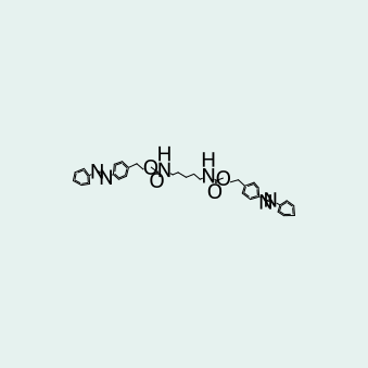 O=C(NCCCCCNC(=O)OCCc1ccc(/N=N/c2ccccc2)cc1)OCCc1ccc(/N=N/c2ccccc2)cc1